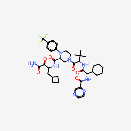 CC(C)(C)[C@H](NC(=O)[C@@H](NC(=O)c1cnccn1)C1CCCCC1)C(=O)N1CCN(c2ccc(C(F)(F)F)cc2)[C@H](C(=O)NC(CC2CCC2)C(=O)C(N)=O)C1